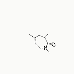 CC1=CCN(C)C(=O)C(C)C1